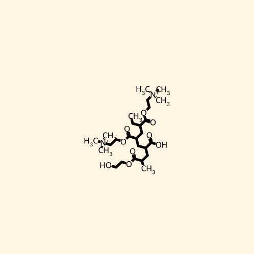 CCC(CC(CC(CC(C)C(=O)OCCO)C(=O)O)C(=O)OCC[N+](C)(C)C)C(=O)OCC[N+](C)(C)C